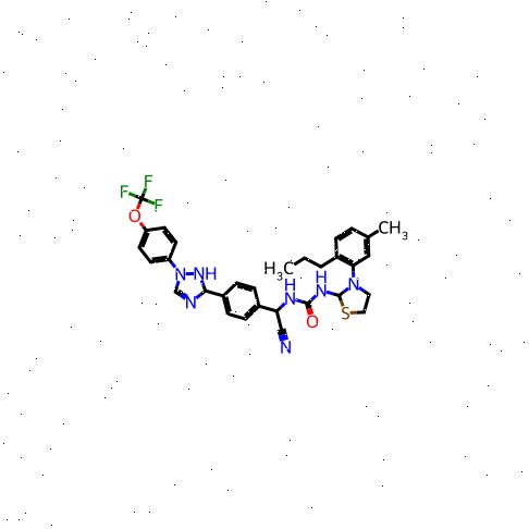 CCCc1ccc(C)cc1N1CCSC1NC(=O)NC(C#N)c1ccc(C2N=CN(c3ccc(OC(F)(F)F)cc3)N2)cc1